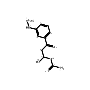 CCCCCNc1cccc(C(=O)CC(CCCC)OC(N)=O)c1